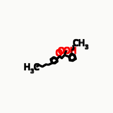 CCCCCc1ccc(C(=O)CC(C(=O)O)c2ccccc2CCCC)cc1